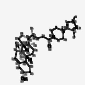 Cc1nn(C)cc1N1CCN(C(=O)CC[C@@H](C)[C@H]2CC[C@H]3[C@@H]4CC=C5C[C@@H](O)CC[C@]5(C)[C@H]4CC[C@]23C)CC1